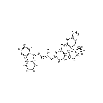 Nc1ccc2c(c1)Oc1cc(NC(=O)OCC3c4ccccc4-c4ccccc43)ccc1C21OCc2ccccc21